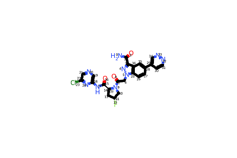 NC(=O)c1nn(CC(=O)N2C[C@H](F)C[C@H]2C(=O)Nc2cncc(Cl)n2)c2ccc(-c3ccnnc3)cc12